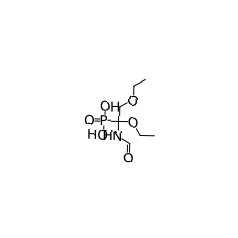 CCOCC(NC=O)(OCC)P(=O)(O)O